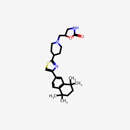 CC1(C)CCC(C)(C)c2cc(-c3csc(C4CCN(CC5CNC(=O)O5)CC4)n3)ccc21